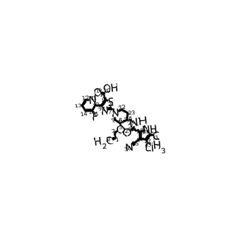 C=CCO[C@H]1CN(c2nc(-c3ncccc3F)c(C(=O)O)s2)CC[C@H]1NC(=O)c1[nH]c(C)c(Cl)c1C#N